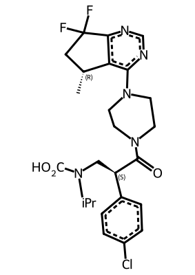 CC(C)N(C[C@@H](C(=O)N1CCN(c2ncnc3c2[C@H](C)CC3(F)F)CC1)c1ccc(Cl)cc1)C(=O)O